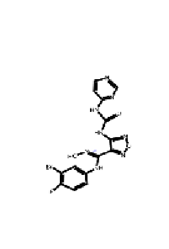 O=C(Nc1ccncn1)Nc1nonc1/C(=N/O)Nc1ccc(F)c(Br)c1